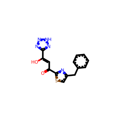 O=C(C=C(O)c1nn[nH]n1)c1nc(Cc2ccccc2)cs1